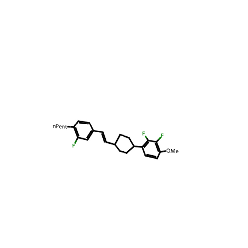 CCCCCc1ccc(/C=C/C2CCC(c3ccc(OC)c(F)c3F)CC2)cc1F